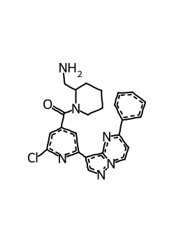 NCC1CCCCN1C(=O)c1cc(Cl)nc(-c2cnn3ccc(-c4ccccc4)nc23)c1